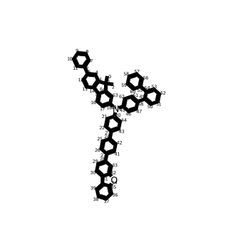 CC1(C)c2cc(-c3ccccc3)ccc2-c2ccc(N(c3ccc(-c4ccc(-c5ccc6c(c5)oc5ccccc56)cc4)cc3)c3ccc(-c4ccccc4-c4ccccc4)cc3)cc21